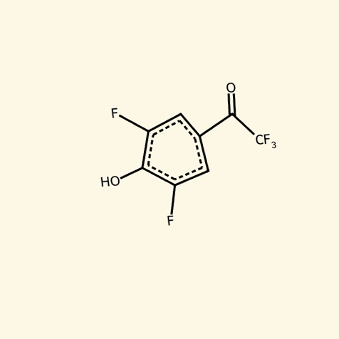 O=C(c1cc(F)c(O)c(F)c1)C(F)(F)F